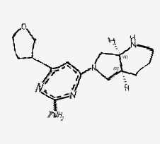 Nc1nc(C2CCOC2)cc(N2C[C@@H]3CCCN[C@@H]3C2)n1